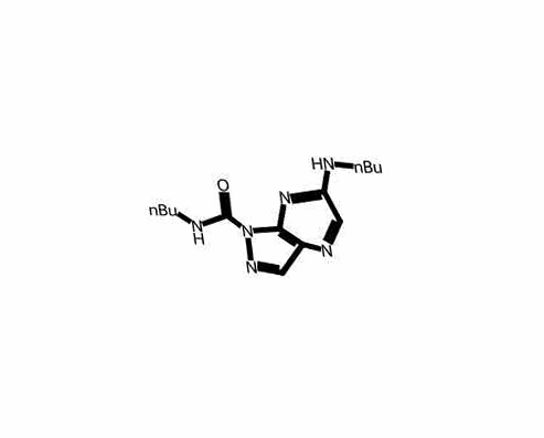 CCCCNC(=O)n1ncc2ncc(NCCCC)nc21